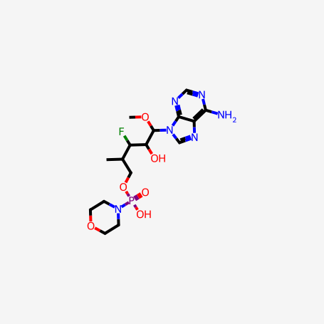 COC(C(O)C(F)C(C)COP(=O)(O)N1CCOCC1)n1cnc2c(N)ncnc21